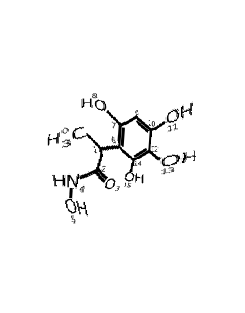 CC(C(=O)NO)c1c(O)cc(O)c(O)c1O